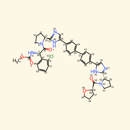 COC(=O)N[C@@H](C(=O)N1CCC[C@H]1c1ncc(-c2ccc(-c3ccc(-c4cnc([C@@H]5CCCN5C(=O)[C@H]5CCCO5)[nH]4)cc3)cc2)[nH]1)c1ccccc1Cl